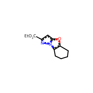 CCOC(=O)c1cc2oc3c(n2n1)CCCC3